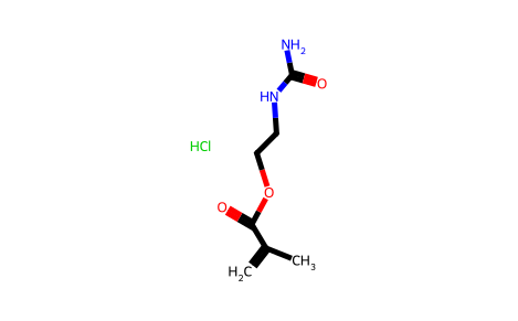 C=C(C)C(=O)OCCNC(N)=O.Cl